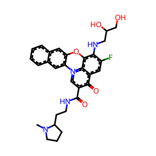 CN1CCCC1CCNC(=O)c1cn2c3c(c(NCC(O)CO)c(F)cc3c1=O)Oc1cc3ccccc3cc1-2